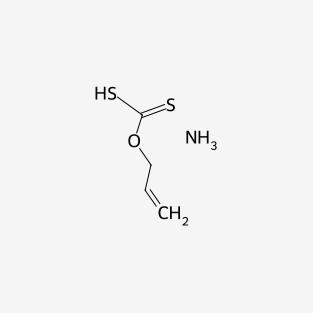 C=CCOC(=S)S.N